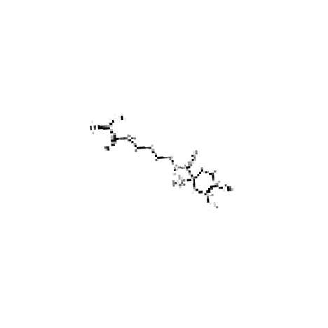 C=C(C)C(=O)OCCCCOC(=O)C1(C)CCC(CCC)=C(C)C1